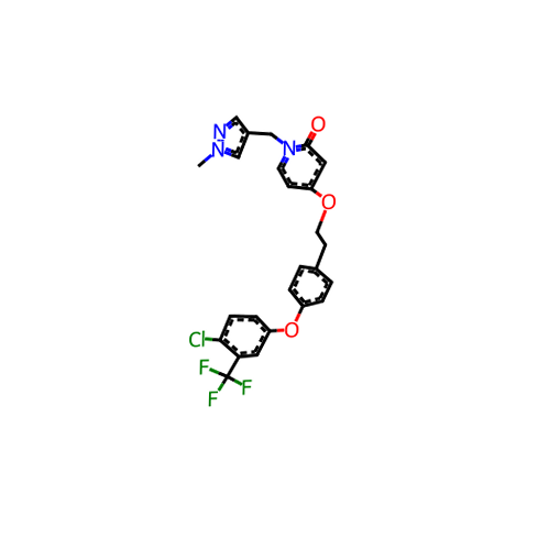 Cn1cc(Cn2ccc(OCCc3ccc(Oc4ccc(Cl)c(C(F)(F)F)c4)cc3)cc2=O)cn1